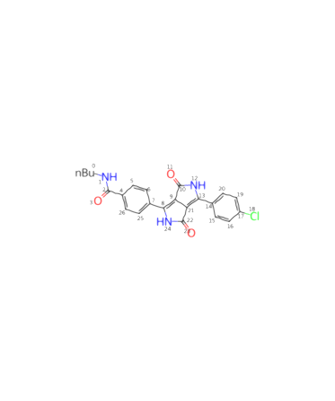 CCCCNC(=O)c1ccc(C2=C3C(=O)NC(c4ccc(Cl)cc4)=C3C(=O)N2)cc1